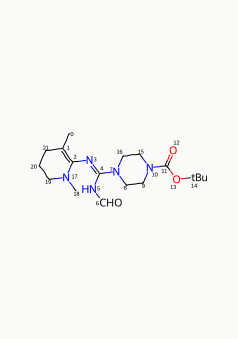 CC1=C(/N=C(\NC=O)N2CCN(C(=O)OC(C)(C)C)CC2)N(C)CCC1